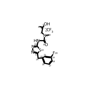 CN(C[C@@](C)(O)C(F)(F)F)C(=O)Nc1nnc(Cc2cccc(F)c2)s1